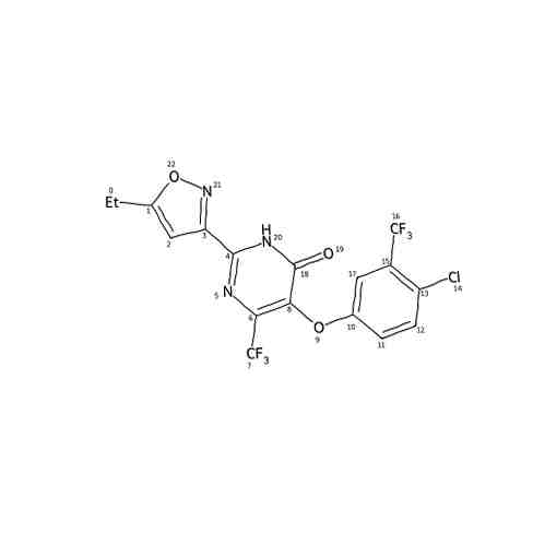 CCc1cc(-c2nc(C(F)(F)F)c(Oc3ccc(Cl)c(C(F)(F)F)c3)c(=O)[nH]2)no1